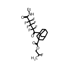 CCNC(=O)C(F)(F)C(F)(F)C(F)(F)C(=O)C12CC3CC(CC(C(=O)OCC(C)F)(C3)C1)C2